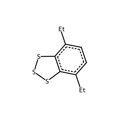 CCc1ccc(CC)c2c1SSS2